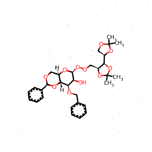 CC1(C)O[C@H]([C@H]2COC(C)(C)O2)[C@H](COO[C@@H]2O[C@@H]3COC(c4ccccc4)O[C@H]3[C@H](OCc3ccccc3)[C@@H]2O)O1